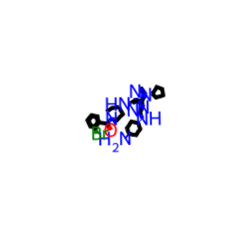 N[C@H]1CC[C@H](Nc2nc(NC3CCN(C(=O)c4ccccc4Br)CC3)c3ncn(C4CCCC4)c3n2)CC1